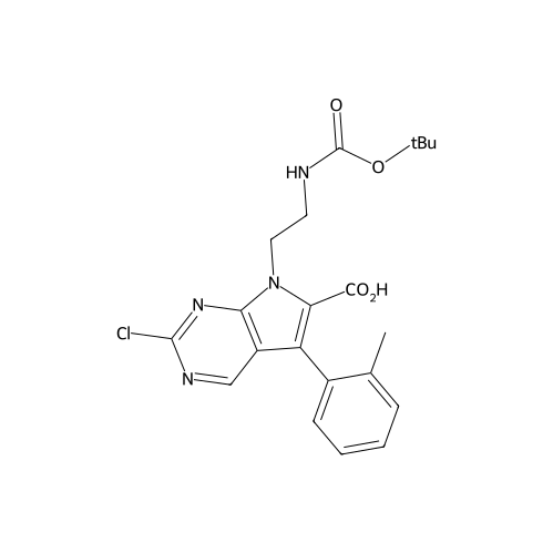 Cc1ccccc1-c1c(C(=O)O)n(CCNC(=O)OC(C)(C)C)c2nc(Cl)ncc12